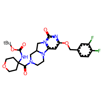 CC(C)(C)OC(=O)NC1(C(=O)N2CCN3c4cc(OCc5ccc(F)c(F)c5)nc(=O)n4CC3C2)CCOCC1